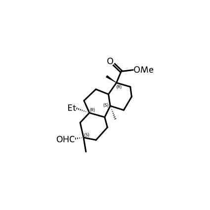 CC[C@]12CCC3[C@@](C)(CCC[C@@]3(C)C(=O)OC)C1CC[C@](C)(C=O)C2